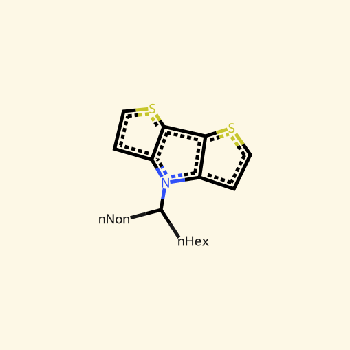 CCCCCCCCCC(CCCCCC)n1c2ccsc2c2sccc21